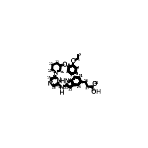 CCOc1ccccc1O[C@@H]1CCCN(c2cncc(Nc3cc4cc(CCC(=O)O)ccc4[nH]3)n2)C1